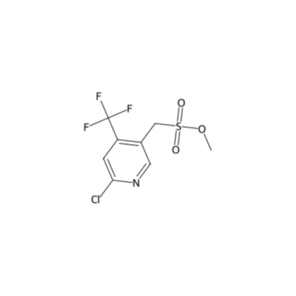 COS(=O)(=O)Cc1cnc(Cl)cc1C(F)(F)F